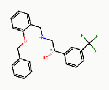 O[C@H](CNCc1ccccc1OCc1ccccc1)c1cccc(C(F)(F)F)c1